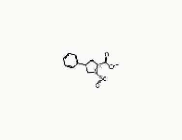 COC(=O)[C@@H]1CC(c2ccccc2)CN1[Se]=O